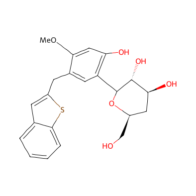 COc1cc(O)c(C2O[C@H](CO)C[C@H](O)[C@H]2O)cc1Cc1cc2ccccc2s1